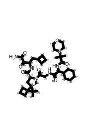 CC(C)(C(=O)NC(C(=O)NCC(=O)N1C[C@]2(C[C@H]1C(=O)NC(CC1CCC1)C(=O)C(N)=O)C(C)(C)C21CCC1)C1CCCCC1)N1CCOCC1